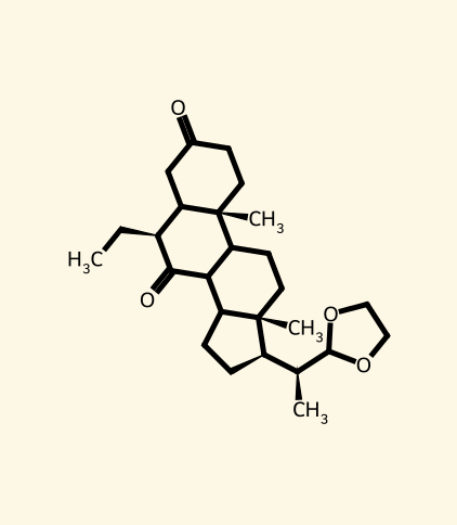 CC[C@@H]1C(=O)C2C(CC[C@@]3(C)C2CC[C@@H]3[C@H](C)C2OCCO2)[C@@]2(C)CCC(=O)CC12